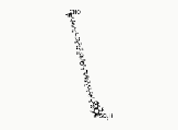 O=CNCCOCCOCCOCCOCCOCCOCCOCCOCCOCCOCCC(=O)Oc1c(F)c(F)c(S(=O)(=O)O)c(F)c1F